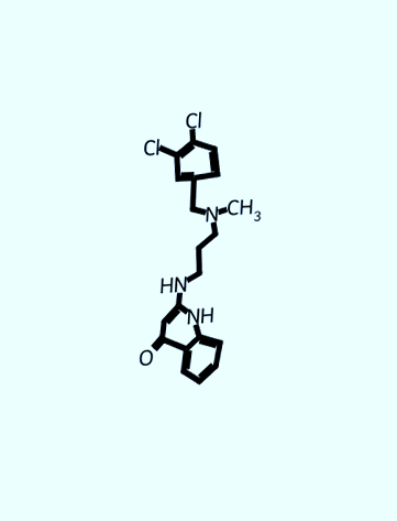 CN(CCCNc1cc(=O)c2ccccc2[nH]1)Cc1ccc(Cl)c(Cl)c1